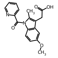 COc1ccc2c(c1)c(CC(=O)O)c(C)n2C(=O)c1ccccn1